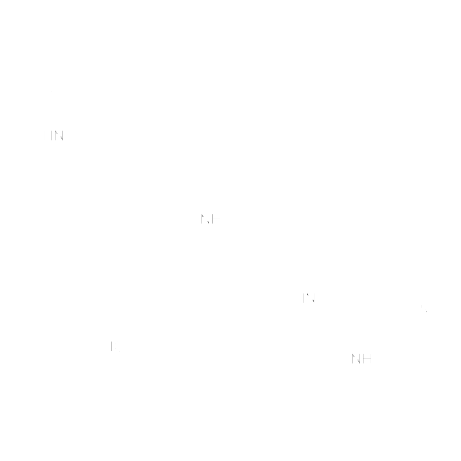 Cl.N=C(NC(CCCNc1ccc(Nc2ccccc2)cc1)c1ccccc1)c1cccs1